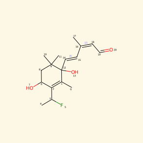 CC1=C(C(C)F)C(O)CC(C)(C)C1(O)/C=C/C(C)=C\C=O